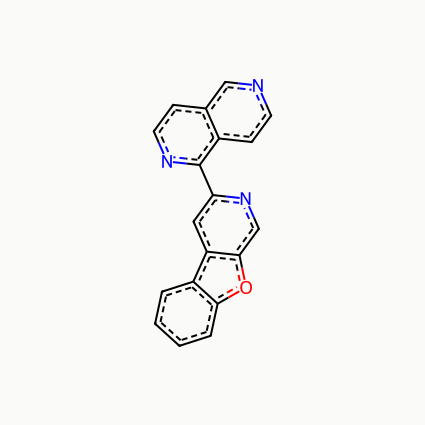 c1ccc2c(c1)oc1cnc(-c3nccc4cnccc34)cc12